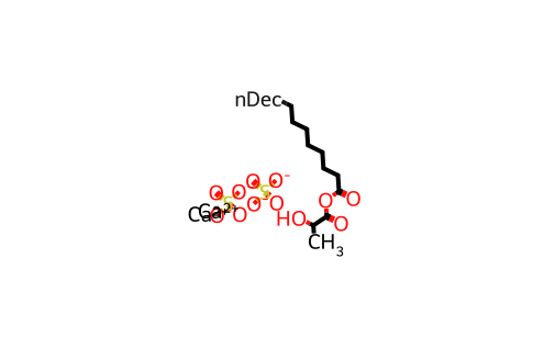 CCCCCCCCCCCCCCCCCC(=O)OC(=O)C(C)O.O=S(=O)([O-])[O-].O=S(=O)([O-])[O-].[Ca+2].[Ca+2]